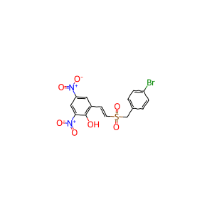 O=[N+]([O-])c1cc(C=CS(=O)(=O)Cc2ccc(Br)cc2)c(O)c([N+](=O)[O-])c1